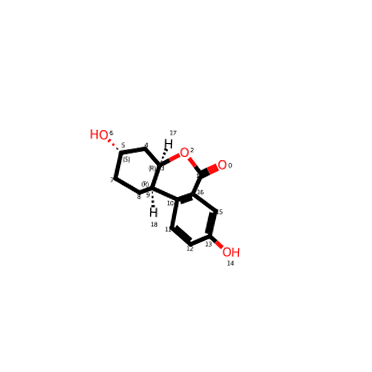 O=C1O[C@@H]2C[C@@H](O)CC[C@@H]2c2ccc(O)cc21